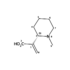 C=C(C(=O)O)[C@@H]1CCCCN1C